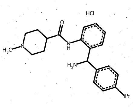 CC(C)c1ccc(C(N)c2ccccc2NC(=O)C2CCN(C)CC2)cc1.Cl